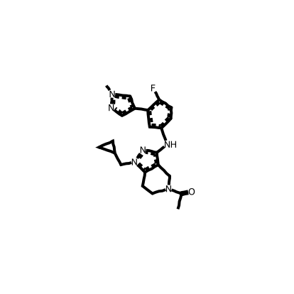 CC(=O)N1CCc2c(c(Nc3ccc(F)c(-c4cnn(C)c4)c3)nn2CC2CC2)C1